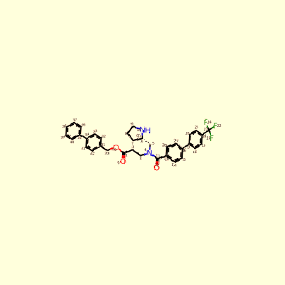 O=C(CCN(C[C@@H]1CCCN1)C(=O)c1ccc(-c2ccc(C(F)(F)F)cc2)cc1)OCc1ccc(-c2ccccc2)cc1